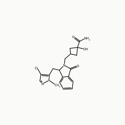 Cn1ncc(Cl)c1CC1c2ccccc2C(=O)N1CC1CC(O)(C(N)=O)C1